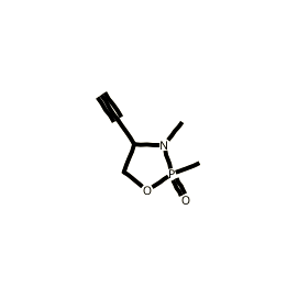 C#CC1COP(C)(=O)N1C